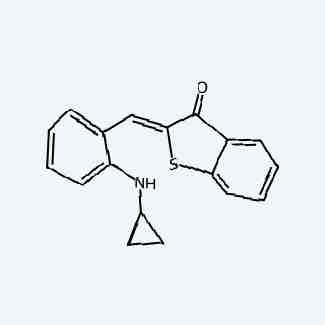 O=C1C(=Cc2ccccc2NC2CC2)Sc2ccccc21